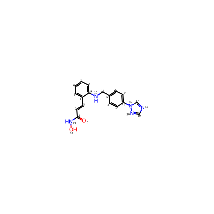 O=C(C=Cc1ccccc1NCc1ccc(-n2cncn2)cc1)NO